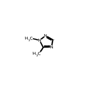 Cc1n[c]nn1C